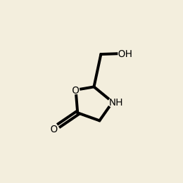 O=C1CNC(CO)O1